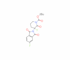 CC(C)(C)OC(=O)N1CCCC(F)(N2C(=O)c3ccc(F)cc3C2=O)C1=O